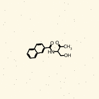 CC(=O)C(CO)NC(=O)c1ccc2ccccc2c1